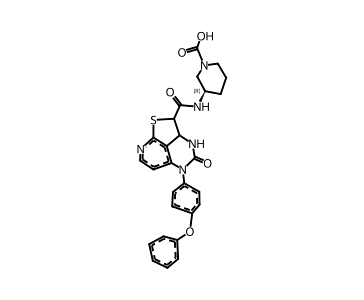 O=C(N[C@@H]1CCCN(C(=O)O)C1)C1Sc2nccc3c2C1NC(=O)N3c1ccc(Oc2ccccc2)cc1